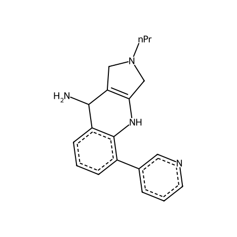 CCCN1CC2=C(C1)C(N)c1cccc(-c3cccnc3)c1N2